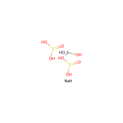 O=S(=O)(O)O.O=S(O)O.O=S(O)O.[NaH]